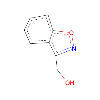 OCc1noc2ccccc12